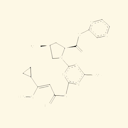 C=C(/C=C(\NN)C1CC1)Nc1nc(OC)nc(N2C[C@@H](OC)C[C@H]2C(=O)Nc2cnccn2)n1